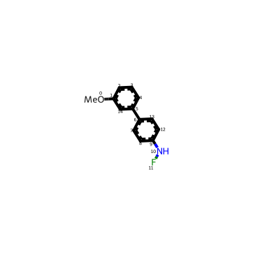 COc1cccc(-c2ccc(NF)cc2)c1